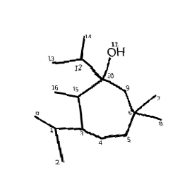 CC(C)C1CCC(C)(C)CC(O)(C(C)C)C1C